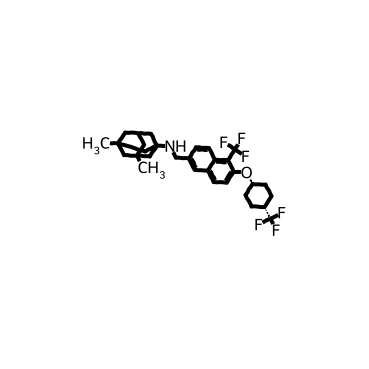 CC12CC3CC(C)(C1)CC(NCc1ccc4c(C(F)(F)F)c(O[C@H]5CC[C@@H](C(F)(F)F)CC5)ccc4c1)(C3)C2